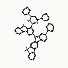 CC1(C)c2ccccc2-c2cc3c4ccc(-c5ccccc5)cc4n(-c4cc(C5=NC(c6ccccc6)=CC(c6ccccc6)N5)c5sc6ccccc6c5c4)c3cc21